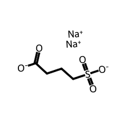 O=C([O-])CCCS(=O)(=O)[O-].[Na+].[Na+]